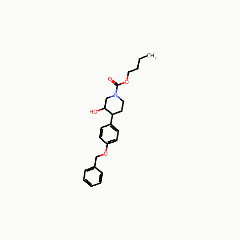 CCCCOC(=O)N1CCC(c2ccc(OCc3ccccc3)cc2)C(O)C1